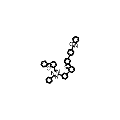 c1ccc(-c2nc(-c3cccc(-c4cccc5c4sc4ccc(-c6ccc(-c7nc8ccccc8o7)cc6)cc45)c3)nc(-c3cccc4c3oc3ccccc34)n2)cc1